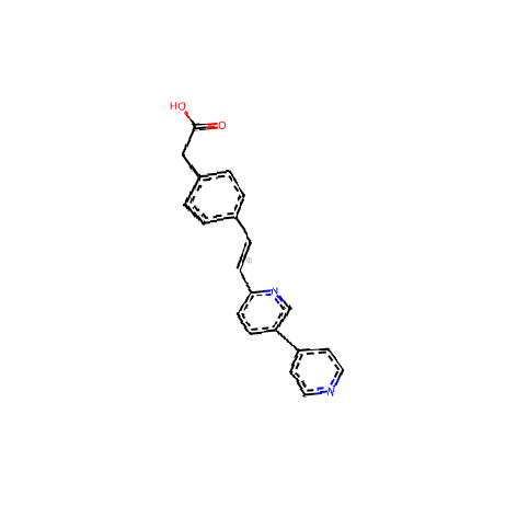 O=C(O)Cc1ccc(/C=C/c2ccc(-c3ccncc3)cn2)cc1